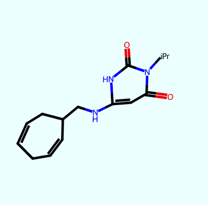 CC(C)n1c(=O)cc(NCC2C=CCC=CC2)[nH]c1=O